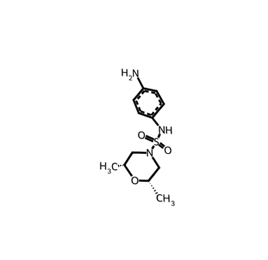 C[C@@H]1CN(S(=O)(=O)Nc2ccc(N)cc2)C[C@H](C)O1